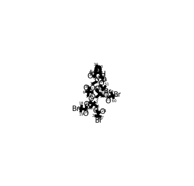 CC(COCC(C)(COC(=O)C(C)(COC(=O)C(C)(C)Br)COC(=O)C(C)(C)Br)C(=O)OCCN1C(=O)[C@@H]2C3C=CC(O3)[C@@H]2C1=O)(COC(=O)C(C)(C)Br)COC(=O)C(C)(C)Br